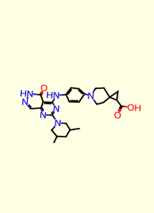 CC1CC(C)CN(c2nc(Nc3ccc(N4CCC5(CC4)CC5C(=O)O)cc3)c3c(=O)[nH]ncc3n2)C1